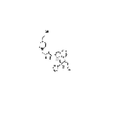 O=S(=O)(c1cccs1)N(CC1CC1)c1cccc2cc(-c3ncc(CN4CCC(CCO)CC4)s3)[nH]c12